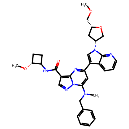 COC[C@H]1C[C@@H](n2cc(-c3cc(N(C)Cc4ccccc4)n4ncc(C(=O)NC5CC[C@H]5OC)c4n3)c3cccnc32)CO1